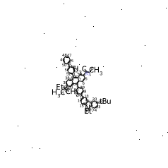 C/C=C(\C)c1ccc2c(-c3ccc(-c4ccc5c(c4)c4cc(C(C)(C)C)ccc4n5CC)cc3)c3cc(C(C)(C)CC)ccc3c(-c3ccc(-c4ccccc4)cc3)c2c1